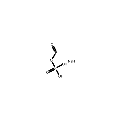 O=POP(=O)(O)O.[NaH]